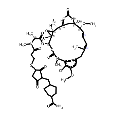 COc1cc2cc(c1Cl)N(C)C(=O)C[C@H](OC(=O)[C@@H](C)N(C)C(=O)CCSC1CC(=O)C(CC3CCC(C(N)=O)CC3)C1=O)[C@]1(C)O[C@H]1[C@H](C)[C@@H]1C[C@@](O)(NC(=O)O1)[C@H](OC)/C=C/C=C(\C)C2